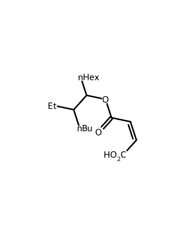 CCCCCCC(OC(=O)/C=C\C(=O)O)C(CC)CCCC